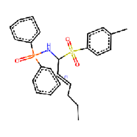 CCC/C=C/C(NP(=O)(c1ccccc1)c1ccccc1)S(=O)(=O)c1ccc(C)cc1